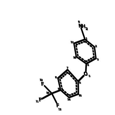 Nc1ccc(Oc2ccc(C(F)(F)F)cc2)cc1